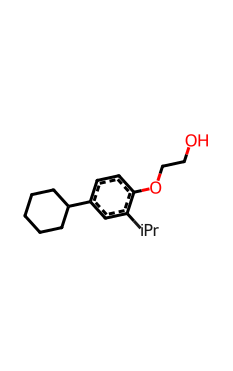 CC(C)c1cc(C2CCCCC2)ccc1OCCO